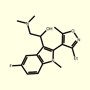 CCc1noc(C)c1-c1c(C(O)CN(C)C)c2cc(F)ccc2n1C